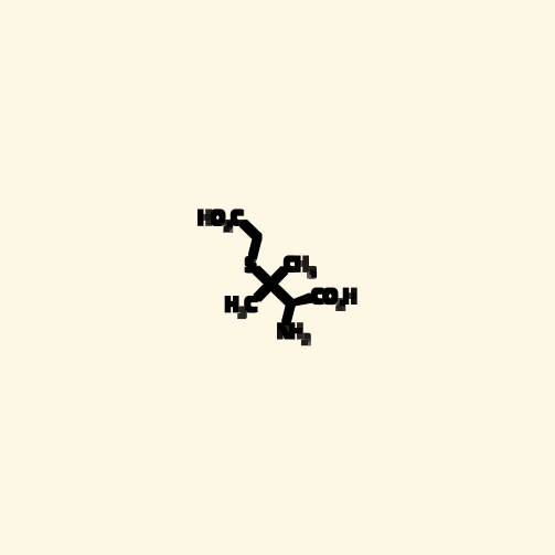 CC(C)(SCC(=O)O)[C@H](N)C(=O)O